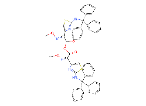 CON=C(C(=O)OC(=O)C(=NOC)c1csc(NC(c2ccccc2)(c2ccccc2)c2ccccc2)n1)c1csc(NC(c2ccccc2)(c2ccccc2)c2ccccc2)n1